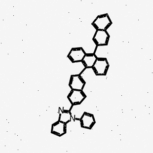 c1ccc(-n2c(-c3ccc4cc(-c5c6ccccc6c(-c6ccc7ccccc7c6)c6ccccc56)ccc4c3)nc3ccccc32)cc1